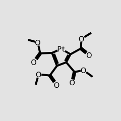 COC(=O)[C]1=C(C(=O)OC)C(C(=O)OC)=[C](C(=O)OC)[Pt]1